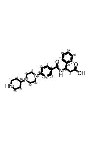 O=C(O)CC(NC(=O)c1ccc(N2CCN(C3CCNCC3)CC2)nc1)c1ccccc1